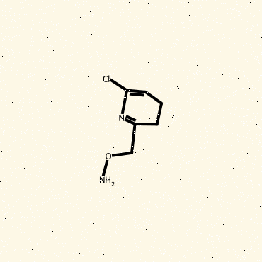 NOCC1=NC(Cl)=CCC1